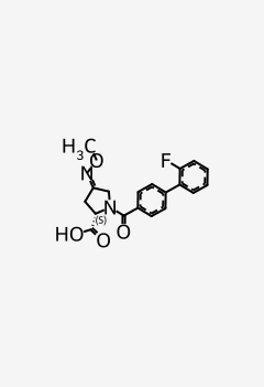 CON=C1C[C@@H](C(=O)O)N(C(=O)c2ccc(-c3ccccc3F)cc2)C1